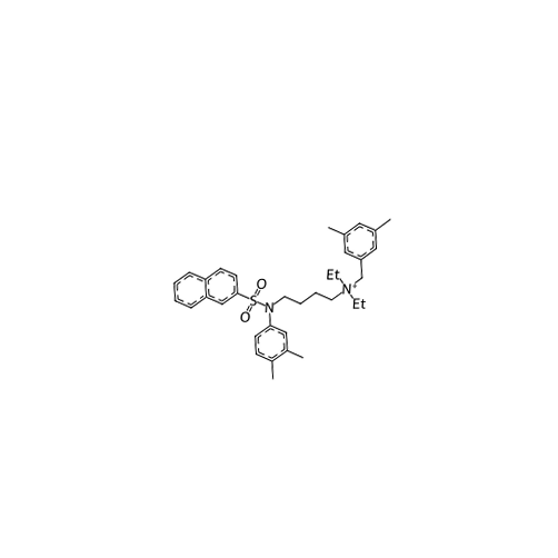 CC[N+](CC)(CCCCN(c1ccc(C)c(C)c1)S(=O)(=O)c1ccc2ccccc2c1)Cc1cc(C)cc(C)c1